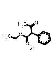 CCOC(=O)C(C(C)=O)c1ccccc1.[Zr]